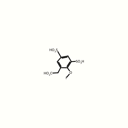 O=C(O)Cc1cc(S(=O)(=O)O)cc(S(=O)(=O)O)c1OI